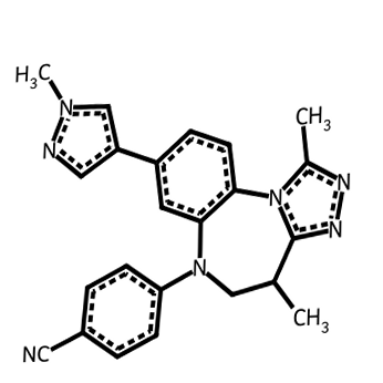 Cc1nnc2n1-c1ccc(-c3cnn(C)c3)cc1N(c1ccc(C#N)cc1)CC2C